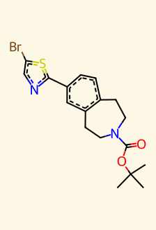 CC(C)(C)OC(=O)N1CCc2ccc(-c3ncc(Br)s3)cc2CC1